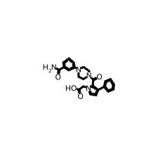 NC(=O)c1cccc(N2CCN(C(=O)c3c(-c4ccccc4)ccn3CC(=O)O)CC2)c1